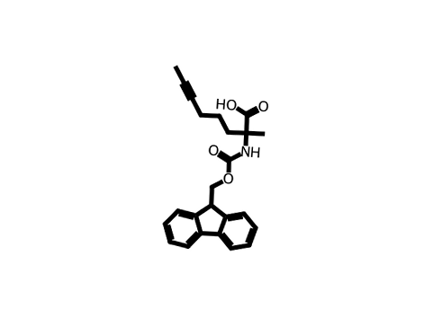 CC#CCCCC(C)(NC(=O)OCC1c2ccccc2-c2ccccc21)C(=O)O